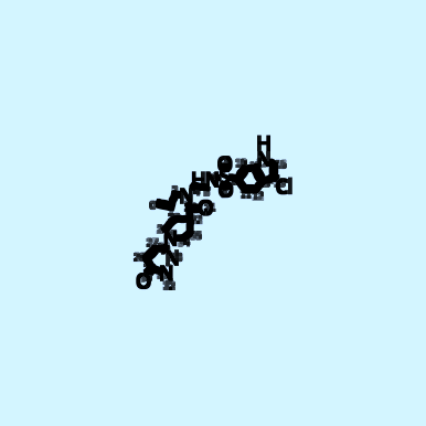 C=CCN(CCNS(=O)(=O)c1ccc2c(Cl)c[nH]c2c1)C(=O)C1CCN(c2ccc(=O)n(C)n2)CC1